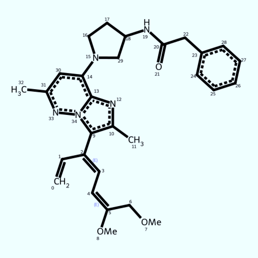 C=C/C(=C\C=C(/COC)OC)c1c(C)nc2c(N3CCC(NC(=O)Cc4ccccc4)C3)cc(C)nn12